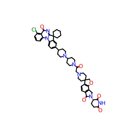 O=C1CC[C@H](N2Cc3c(ccc4c3OCC43CCN(CC(=O)N4CCC(N5CCC(c6ccc7c(c6)C6(CCCCC6)c6nc(=O)c8c(Cl)cccc8n6-7)CC5)CC4)CC3)C2=O)C(=O)N1